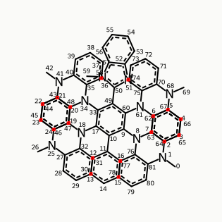 CN1c2ccccc2N(c2c(-c3ccccc3)c(N3c4ccccc4N(C)c4ccccc43)c(N3c4ccccc4N(C)c4ccccc43)c(-c3nc4ccccc4n3C)c2N2c3ccccc3N(C)c3ccccc32)c2ccccc21